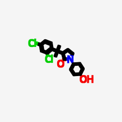 CC(C)(c1ccc(Cl)cc1Cl)C1CCN([C@H]2CC[C@H](O)CC2)C1=O